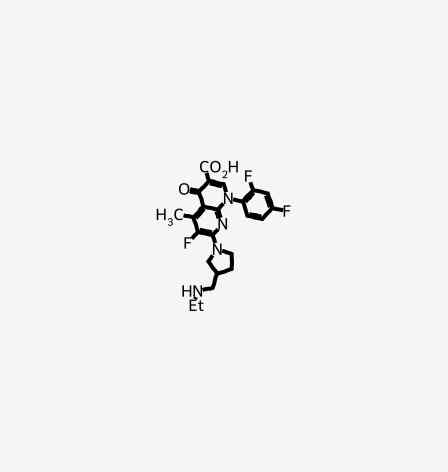 CCNCC1CCN(c2nc3c(c(C)c2F)c(=O)c(C(=O)O)cn3-c2ccc(F)cc2F)C1